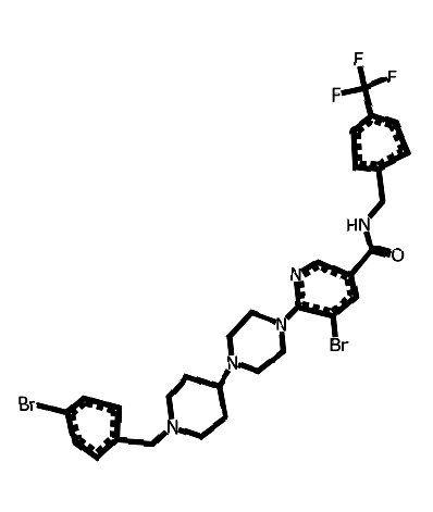 O=C(NCc1ccc(C(F)(F)F)cc1)c1cnc(N2CCN(C3CCN(Cc4ccc(Br)cc4)CC3)CC2)c(Br)c1